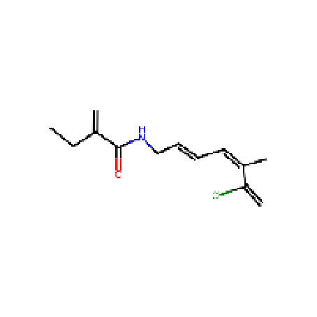 C=C(CC)C(=O)NC/C=C/C=C(/C)C(=C)Cl